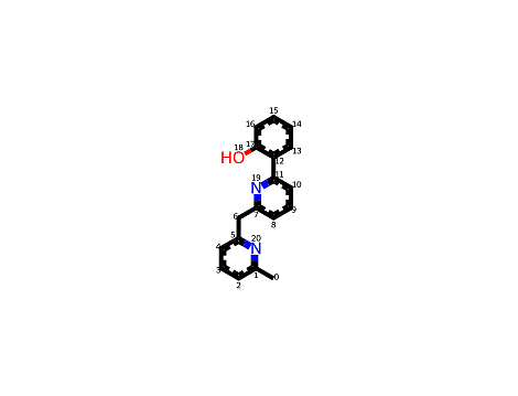 Cc1cccc(Cc2cccc(-c3ccccc3O)n2)n1